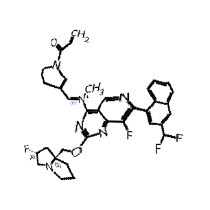 C=CC(=O)N1CCC(/C=[N+](\C)c2nc(OC[C@@]34CCCN3C[C@H](F)C4)nc3c(F)c(-c4cc(C(F)F)cc5ccccc45)ncc23)C1